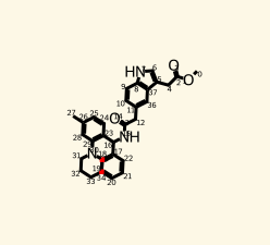 COC(=O)Cc1c[nH]c2ccc(CC(=O)NC(c3ccccc3)c3ccc(C)cc3N3CCCCC3)cc12